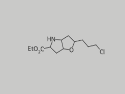 CCOC(=O)C1CC2OC(CCCCl)CC2N1